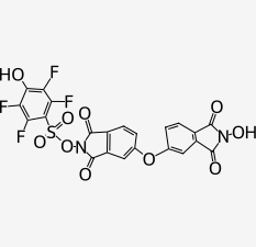 O=C1c2ccc(Oc3ccc4c(c3)C(=O)N(OS(=O)(=O)c3c(F)c(F)c(O)c(F)c3F)C4=O)cc2C(=O)N1O